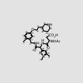 CC(=O)N[C@@H](CC(=O)O)C(=O)NC(C(=O)NCc1cc(OCCC2CCCNC2)ccc1C)c1cc(C)n(C)n1